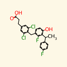 CC(c1ccc(F)cc1)c1c(O)ccc(Cc2c(Cl)cc(CCC(=O)O)cc2Cl)c1F